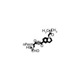 CCCCC[C@H](CN(O)C=O)C(=O)NNC(=O)c1ccc2c(c1)CCCN2CC(=O)N(C)C